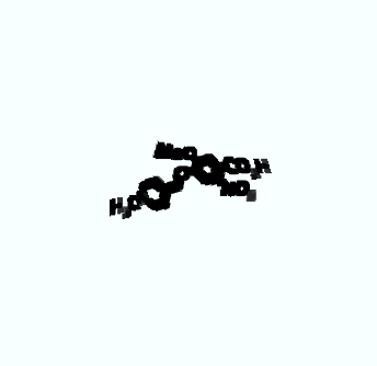 COc1cc(C(=O)O)c([N+](=O)[O-])cc1OCC1CCN(C)CC1